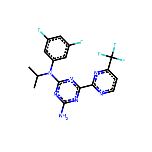 CC(C)N(c1cc(F)cc(F)c1)c1nc(N)nc(-c2nccc(C(F)(F)F)n2)n1